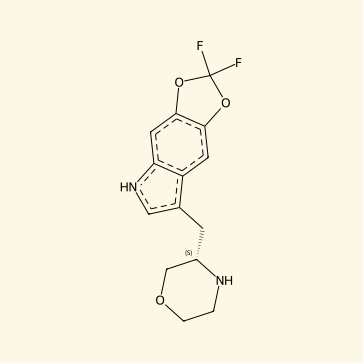 FC1(F)Oc2cc3[nH]cc(C[C@H]4COCCN4)c3cc2O1